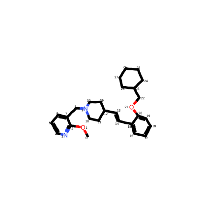 COc1ncccc1CN1CCC(C=Cc2ccccc2OCC2CCCCC2)CC1